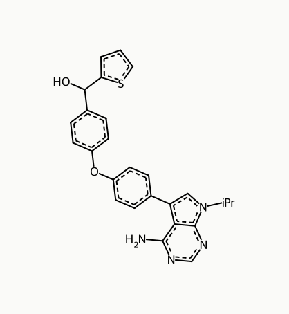 CC(C)n1cc(-c2ccc(Oc3ccc(C(O)c4cccs4)cc3)cc2)c2c(N)ncnc21